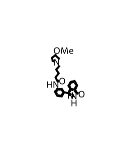 COC1CCN(CCCCC(=O)Nc2cccc(-c3n[nH]c(=O)c4ccccc34)c2)C1